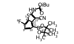 CC(C)COC(=O)Nc1sc2c(F)ccc(B3OC(C)(C)C(C)(C)O3)c2c1C#N